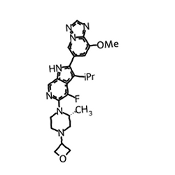 COc1cc(-c2[nH]c3cnc(N4CCN(C5COC5)C[C@H]4C)c(F)c3c2C(C)C)cn2ncnc12